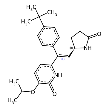 CC(C)Oc1ccc(/C(=C/[C@H]2CCC(=O)N2)c2ccc(C(C)(C)C)cc2)[nH]c1=O